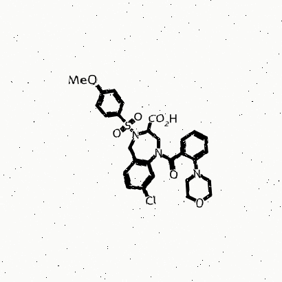 COc1ccc(S(=O)(=O)N2Cc3ccc(Cl)cc3N(C(=O)c3ccccc3N3CCOCC3)CC2C(=O)O)cc1